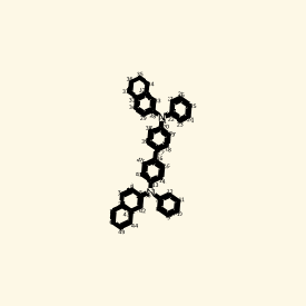 C1=CC2C=CC(N(c3ccccc3)c3ccc(-c4ccc(N(c5ccccc5)c5ccc6c(c5)CCC=C6)cc4)cc3)=CC2C=C1